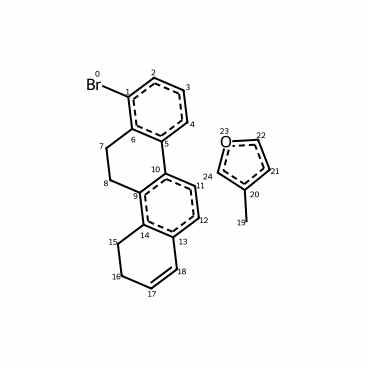 Brc1cccc2c1CCc1c-2ccc2c1CCC=C2.Cc1ccoc1